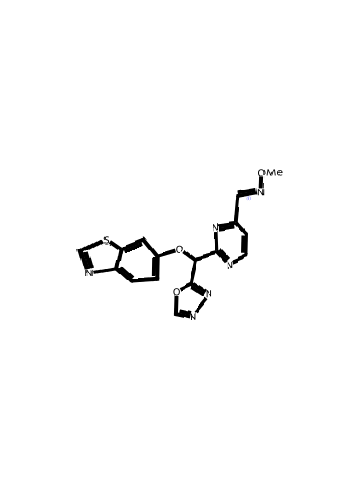 CO/N=C/c1ccnc(C(Oc2ccc3ncsc3c2)c2nnco2)n1